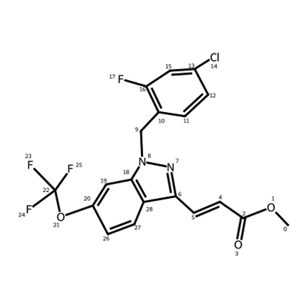 COC(=O)/C=C/c1nn(Cc2ccc(Cl)cc2F)c2cc(OC(F)(F)F)ccc12